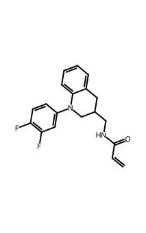 C=CC(=O)NCC1Cc2ccccc2N(c2ccc(F)c(F)c2)C1